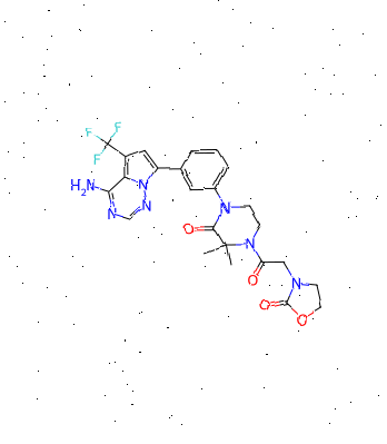 CC1(C)C(=O)N(c2cccc(-c3cc(C(F)(F)F)c4c(N)ncnn34)c2)CCN1C(=O)CN1CCOC1=O